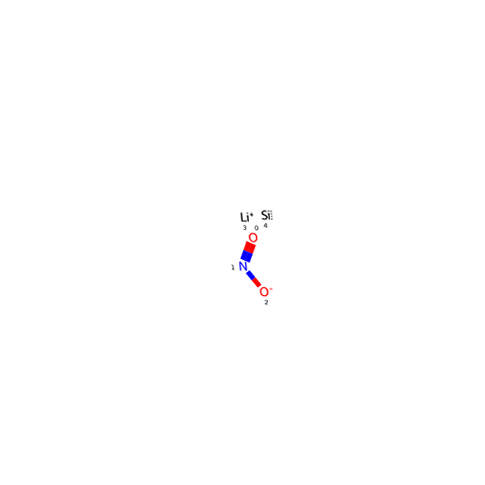 O=N[O-].[Li+].[Si]